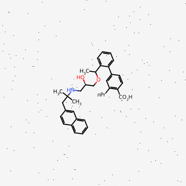 CCCc1cc(-c2ccccc2C(C)OC[C@H](O)CNC(C)(C)Cc2ccc3ccccc3c2)ccc1C(=O)O